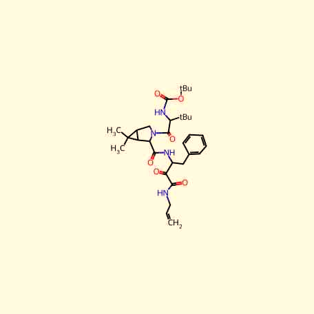 C=CCNC(=O)C(=O)C(Cc1ccccc1)NC(=O)C1C2C(CN1C(=O)C(NC(=O)OC(C)(C)C)C(C)(C)C)C2(C)C